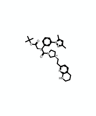 Cc1cc(C)n(-c2cccc([C@H](CC(=O)OC(C)(C)C)C(=O)N3CC[C@@H](CCc4ccc5c(n4)NCCC5)C3)c2)n1